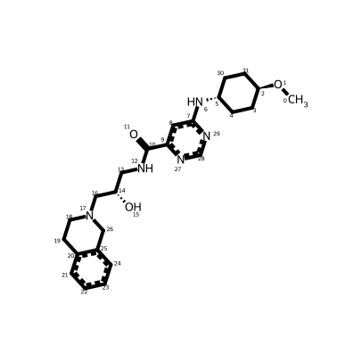 CO[C@H]1CC[C@H](Nc2cc(C(=O)NC[C@H](O)CN3CCc4ccccc4C3)ncn2)CC1